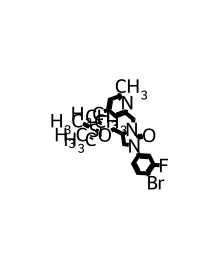 Cc1cc(C)nc(CN2C(=O)N(c3ccc(Br)c(F)c3)CC2CO[Si](C)(C)C(C)(C)C)c1